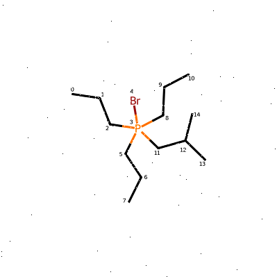 CCCP(Br)(CCC)(CCC)CC(C)C